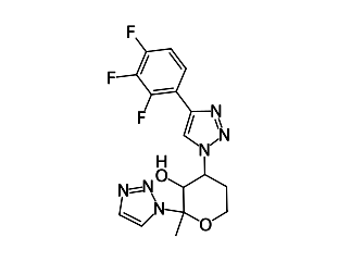 CC1(n2ccnn2)OCCC(n2cc(-c3ccc(F)c(F)c3F)nn2)C1O